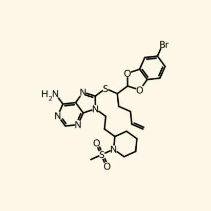 C=CCCC(Sc1nc2c(N)ncnc2n1CCC1CCCCN1S(C)(=O)=O)C1Oc2ccc(Br)cc2O1